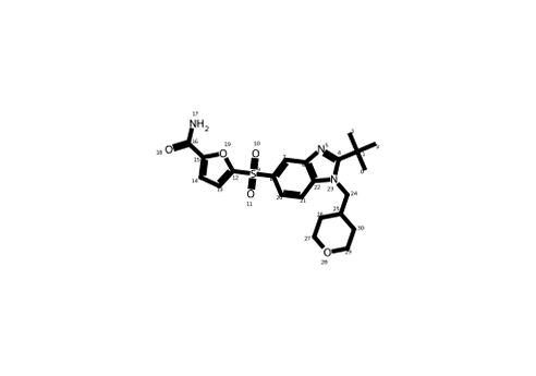 CC(C)(C)c1nc2cc(S(=O)(=O)c3ccc(C(N)=O)o3)ccc2n1CC1CCOCC1